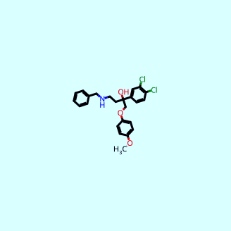 COc1ccc(OCC(O)(CCNCc2ccccc2)c2ccc(Cl)c(Cl)c2)cc1